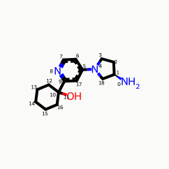 N[C@@H]1CCN(c2ccnc(C3(O)CCCCC3)c2)C1